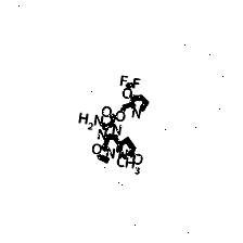 Cn1cc(-c2nc(C(=O)OCc3ncccc3OC(F)F)c(N)nc2-c2ncco2)ccc1=O